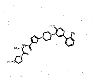 CC(C)(C)[C@H](NC(=O)c1ccc(N2CCN(c3cc(-c4ccccc4O)nnc3N)CC2)s1)C(=O)N1CC[C@@H](O)C1